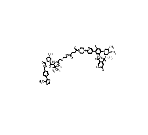 Cc1ncsc1-c1ccc(CNC(=O)[C@@H]2C[C@@H](O)CN2C(=O)C(NC(=O)COCCNC(=O)CCC(=O)N2CCN(c3ccc(-c4cc(NC(=O)c5c[nH]c(=O)cc5C(F)(F)F)c(N5C[C@@H](C)N(C)[C@@H](C)C5)cc4F)cn3)CC2)C(C)(C)C)cc1